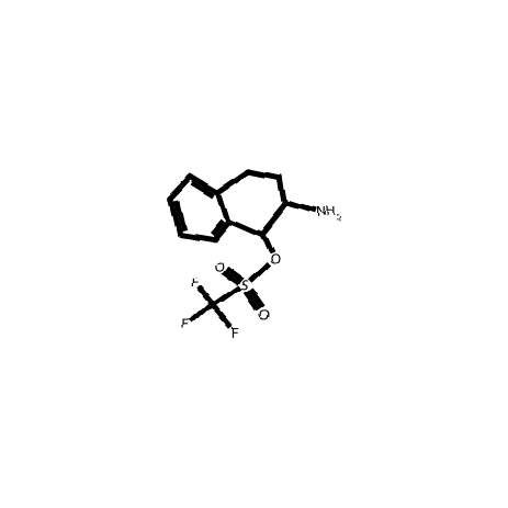 NC1CCc2ccccc2C1OS(=O)(=O)C(F)(F)F